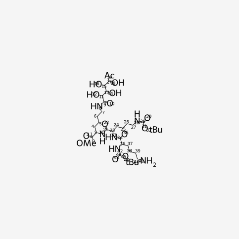 COC(=O)C(CCCCNC(=O)C(O)C(O)C(O)C(O)C(C)=O)NC(=O)C(CCCCNC(=O)OC(C)(C)C)NC(=O)C(CCCCN)NC(=O)OC(C)(C)C